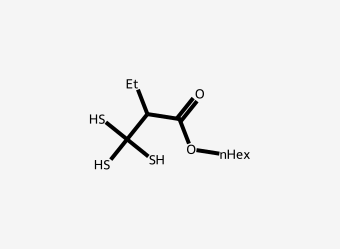 CCCCCCOC(=O)C(CC)C(S)(S)S